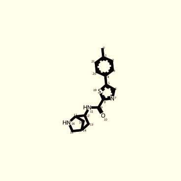 Cc1ccc(-c2cnc(C(=O)NC3CC4CNC3C4)s2)cc1